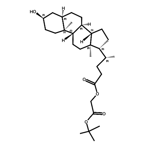 C[C@H](CCC(=O)OCC(=O)OC(C)(C)C)[C@H]1CC[C@H]2[C@@H]3CC[C@@H]4C[C@H](O)CC[C@]4(C)[C@H]3CC[C@]12C